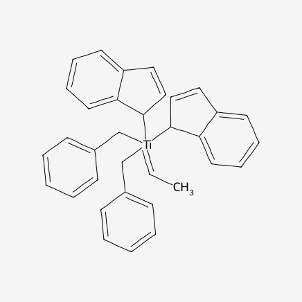 C[CH]=[Ti]([CH2]c1ccccc1)([CH2]c1ccccc1)([CH]1C=Cc2ccccc21)[CH]1C=Cc2ccccc21